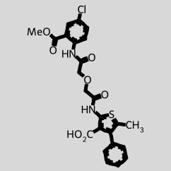 COC(=O)c1cc(Cl)ccc1NC(=O)COCC(=O)Nc1sc(C)c(-c2ccccc2)c1C(=O)O